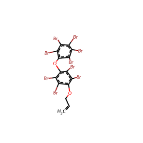 C=CCOc1c(Br)c(Br)c(Oc2c(Br)c(Br)c(Br)c(Br)c2Br)c(Br)c1Br